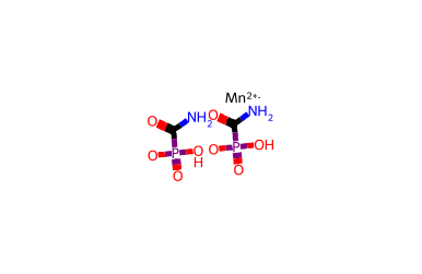 NC(=O)P(=O)([O-])O.NC(=O)P(=O)([O-])O.[Mn+2]